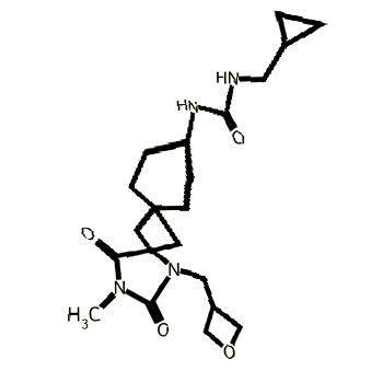 CN1C(=O)N(CC2COC2)C2(CC3(CCC(NC(=O)NCC4CC4)CC3)C2)C1=O